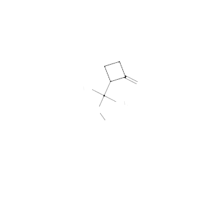 COC(C)(C)C1CCC1=O